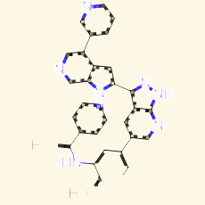 C=C/C(=C\C(=C/C)c1cnc2[nH]nc(-c3cc4c(-c5cccnc5)cncc4[nH]3)c2c1)NC(=C)c1ccccc1